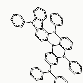 c1ccc(N(c2ccccc2)c2ccc3c(c2)N(c2ccccc2)c2cccc4c2B3c2ccc3c(c2N4c2ccccc2)c2ccccc2n3-c2ccccc2)cc1